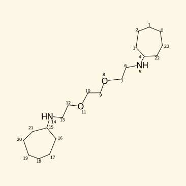 C1CCCC(NCCOCCOCCNC2CCCCCC2)CC1